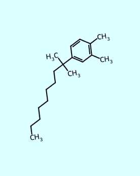 CCCCCCCCC(C)(C)c1ccc(C)c(C)c1